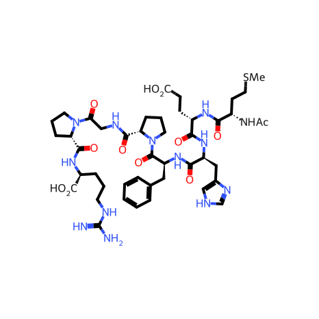 CSCC[C@H](NC(C)=O)C(=O)N[C@@H](CCC(=O)O)C(=O)N[C@@H](Cc1c[nH]cn1)C(=O)N[C@@H](Cc1ccccc1)C(=O)N1CCC[C@H]1C(=O)NCC(=O)N1CCC[C@H]1C(=O)N[C@@H](CCCNC(=N)N)C(=O)O